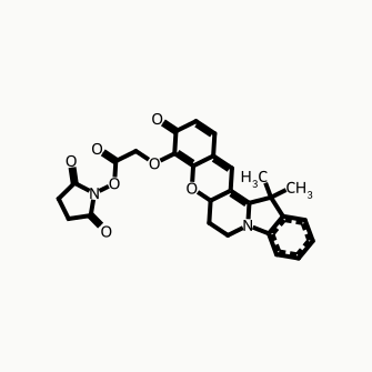 CC1(C)C2=C3C=C4C=CC(=O)C(OCC(=O)ON5C(=O)CCC5=O)=C4OC3CCN2c2ccccc21